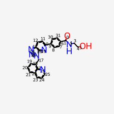 O=C(NCCO)c1ccc(-c2ccc3nnn(Cc4cccc5cccnc45)c3n2)cc1